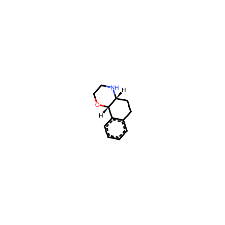 c1ccc2c(c1)CC[C@H]1NCCO[C@@H]21